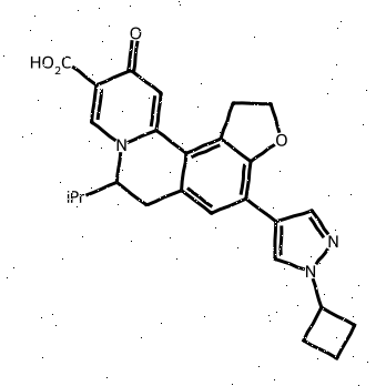 CC(C)C1Cc2cc(-c3cnn(C4CCC4)c3)c3c(c2-c2cc(=O)c(C(=O)O)cn21)CCO3